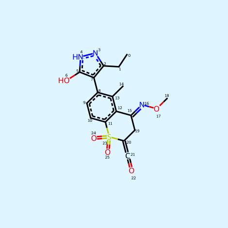 CCc1n[nH]c(O)c1-c1ccc2c(c1C)C(=NOC)CC(=C=O)S2(=O)=O